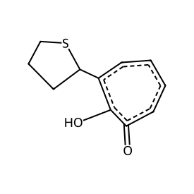 O=c1ccccc(C2CCCS2)c1O